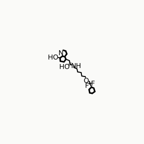 Oc1ccc(C[C@H](O)NCCCCCCOCC(F)(F)c2ccccc2)c2cccnc12